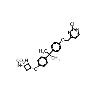 CC(C)(c1ccc(OCc2ccnc(Cl)n2)cc1)c1ccc(O[C@H]2C[C@H](NC(=O)O)C2)cc1